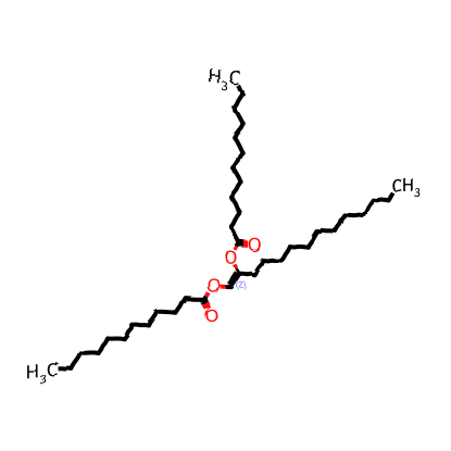 CCCCCCCCCCCC/C(=C/OC(=O)CCCCCCCCCCC)OC(=O)CCCCCCCCCCC